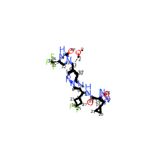 COC[C@H](c1cnn2cc(C(NC(=O)c3nonc3C3CC3)C3CC(F)(F)C3)nc2c1)N1C[C@@H](C(F)(F)F)NC1=O